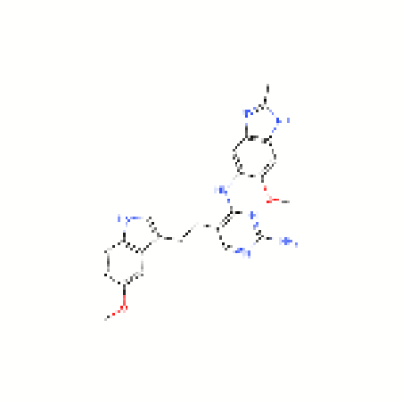 COc1ccc2[nH]cc(CCc3cnc(N)nc3Nc3cc4nc(C)[nH]c4cc3OC)c2c1